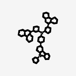 c1ccc(-n2c3ccccc3c3cc(-c4ccc(N(c5cccc(-c6cc7ccccc7c7ccccc67)c5)c5cccc(-c6cc7ccccc7c7ccccc67)c5)cc4)ccc32)cc1